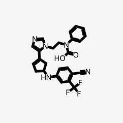 N#Cc1ccc(NC2CC=C(c3cncn3CCN(C(=O)O)c3ccccc3)C2)cc1C(F)(F)F